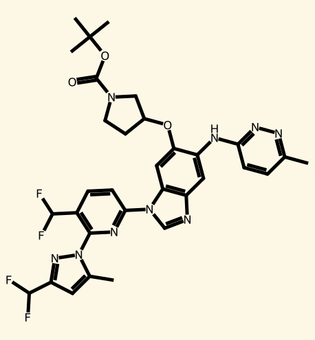 Cc1ccc(Nc2cc3ncn(-c4ccc(C(F)F)c(-n5nc(C(F)F)cc5C)n4)c3cc2OC2CCN(C(=O)OC(C)(C)C)C2)nn1